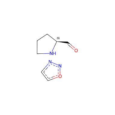 O=C[C@@H]1CCCN1.c1conn1